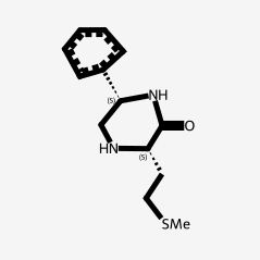 CSCC[C@@H]1NC[C@H](c2ccccc2)NC1=O